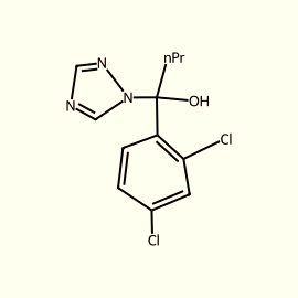 CCCC(O)(c1ccc(Cl)cc1Cl)n1cncn1